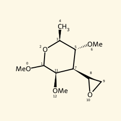 COC1O[C@@H](C)[C@H](OC)[C@@H](C2CO2)[C@H]1OC